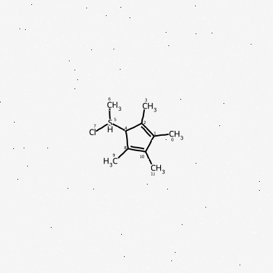 CC1=C(C)C([SH](C)Cl)C(C)=C1C